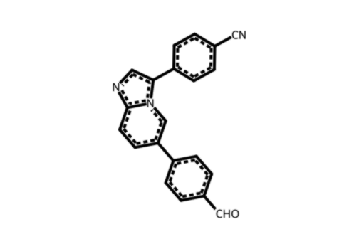 N#Cc1ccc(-c2cnc3ccc(-c4ccc(C=O)cc4)cn23)cc1